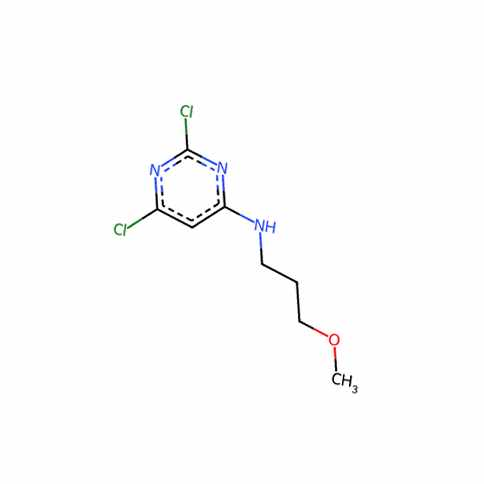 COCCCNc1cc(Cl)nc(Cl)n1